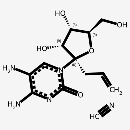 C#N.C=CC[C@@]1(n2cc(N)c(N)nc2=O)O[C@H](CO)[C@@H](O)[C@H]1O